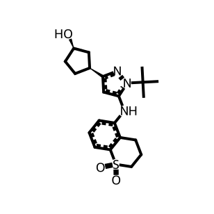 CC(C)(C)n1nc([C@H]2CC[C@@H](O)C2)cc1Nc1cccc2c1CCCS2(=O)=O